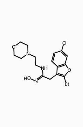 CCc1oc2cc(Cl)ccc2c1CC(=NO)NCCN1CCOCC1